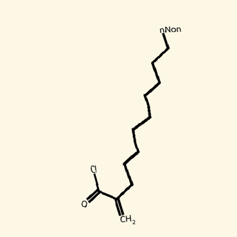 C=C(CCCCCCCCCCCCCCCCCC)C(=O)Cl